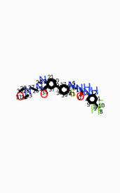 O=C(Nc1ccc(C(F)(F)F)cc1)Nc1nc2cc(-c3ccc4ncn(CCN5CCOCC5)c(=O)c4c3)ccc2s1